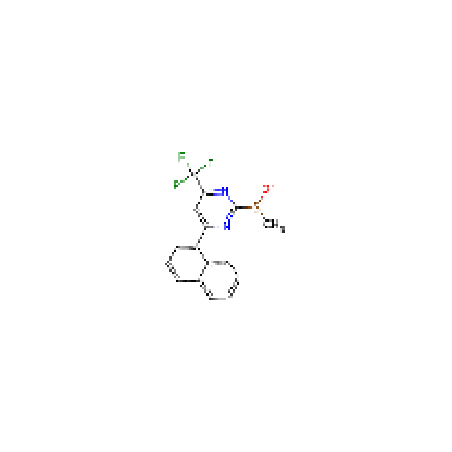 C[S+]([O-])c1nc(-c2cccc3ccccc23)cc(C(F)(F)F)n1